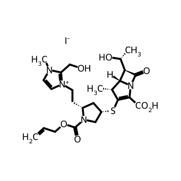 C=CCOC(=O)N1C[C@@H](SC2=C(C(=O)O)N3C(=O)[C@H]([C@@H](C)O)[C@H]3[C@H]2C)C[C@H]1CC[n+]1ccn(C)c1CO.[I-]